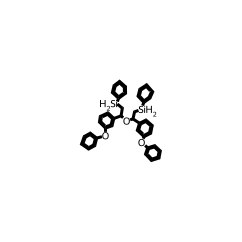 c1ccc(Oc2cccc(C(C[SiH2]c3ccccc3)OC(C[SiH2]c3ccccc3)c3cccc(Oc4ccccc4)c3)c2)cc1